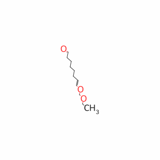 CCOCOC=CCCCCCC=O